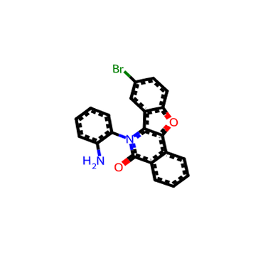 Nc1ccccc1-n1c(=O)c2ccccc2c2oc3ccc(Br)cc3c21